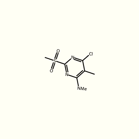 CNc1nc(S(C)(=O)=O)nc(Cl)c1C